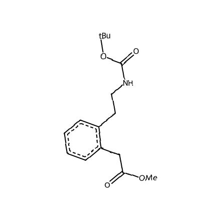 COC(=O)Cc1ccccc1CCNC(=O)OC(C)(C)C